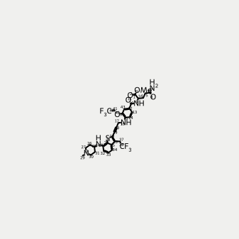 COC(=O)C(CCC(N)=O)NC(=O)c1ccc(NCC#Cc2sc3c(NC4CCN(C)CC4)cccc3c2CC(F)(F)F)c(OCC(F)(F)F)c1